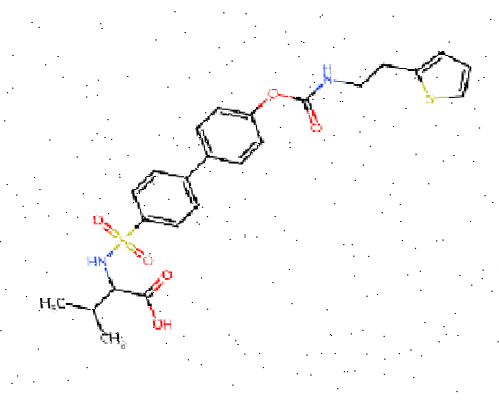 CC(C)C(NS(=O)(=O)c1ccc(-c2ccc(OC(=O)NCCc3cccs3)cc2)cc1)C(=O)O